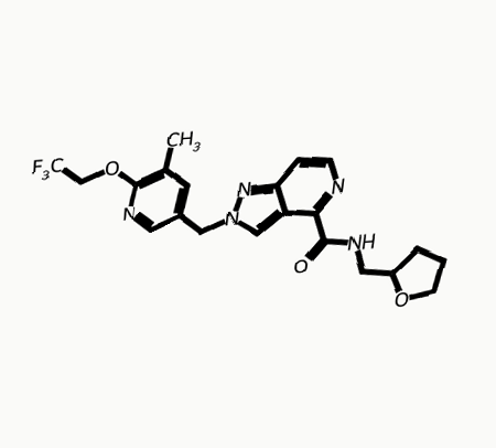 Cc1cc(Cn2cc3c(C(=O)NCC4CCCO4)nccc3n2)cnc1OCC(F)(F)F